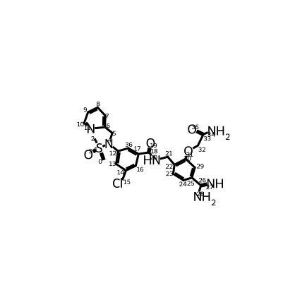 C=S(C)(=O)N(Cc1ccccn1)c1cc(Cl)cc(C(=O)NCc2ccc(C(=N)N)cc2OCC(N)=O)c1